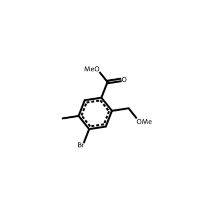 COCc1cc(Br)c(C)cc1C(=O)OC